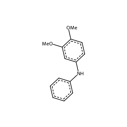 COc1ccc(Nc2ccccc2)cc1OC